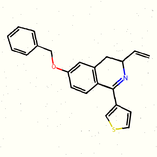 C=CC1Cc2cc(OCc3ccccc3)ccc2C(c2ccsc2)=N1